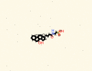 CC12CCCCC1CC(O)C1C2CCC2(C)C1CC[C@@H]2CCCC(=O)NCCS(=O)O